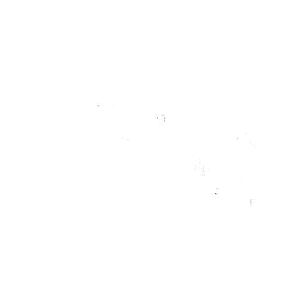 CC1(CCOc2ccc(Br)cc2)OCC1(F)F